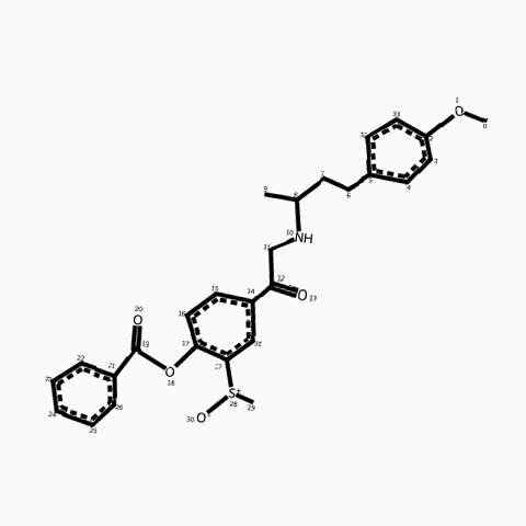 COc1ccc(CCC(C)NCC(=O)c2ccc(OC(=O)c3ccccc3)c([S+](C)[O-])c2)cc1